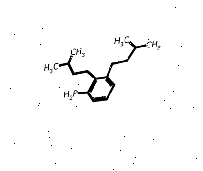 CC(C)CCc1cccc(P)c1CCC(C)C